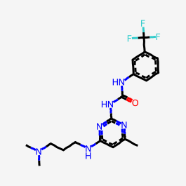 Cc1cc(NCCCN(C)C)nc(NC(=O)Nc2cccc(C(F)(F)F)c2)n1